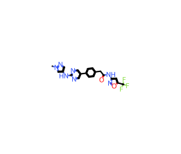 Cn1cc(Nc2ncc(-c3ccc(CC(=O)Nc4cc(C(F)(F)F)on4)cc3)cn2)cn1